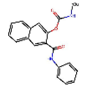 CCCCNC(=O)Oc1cc2ccccc2cc1C(=O)Nc1ccccc1